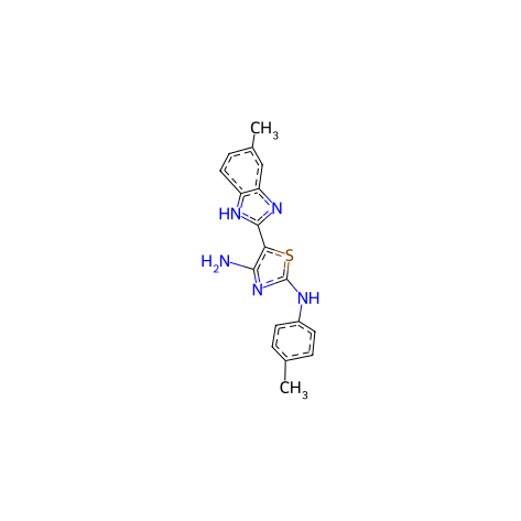 Cc1ccc(Nc2nc(N)c(-c3nc4cc(C)ccc4[nH]3)s2)cc1